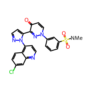 CNS(=O)(=O)c1cccc(-n2ccc(=O)c(-c3ccnn3-c3ccnc4cc(Cl)ccc34)n2)c1